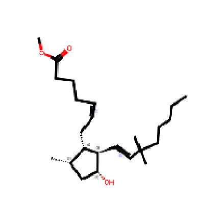 CCCCCC(C)(C)/C=C/[C@@H]1[C@@H](C/C=C\CCCC(=O)OC)[C@@H](C)C[C@H]1O